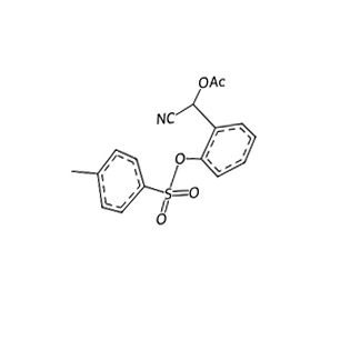 CC(=O)OC(C#N)c1ccccc1OS(=O)(=O)c1ccc(C)cc1